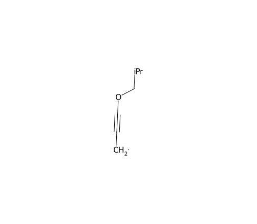 [CH2]C#COCC(C)C